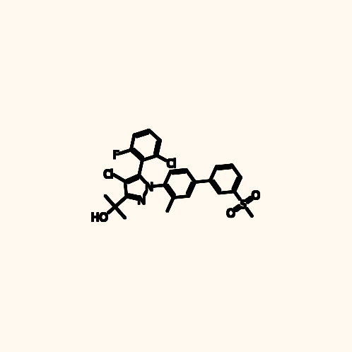 Cc1cc(-c2cccc(S(C)(=O)=O)c2)ccc1-n1nc(C(C)(C)O)c(Cl)c1-c1c(F)cccc1Cl